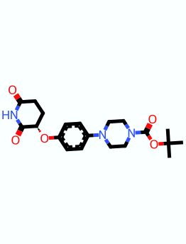 CC(C)(C)OC(=O)N1CCN(c2ccc(O[C@H]3CCC(=O)NC3=O)cc2)CC1